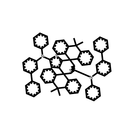 CC1(C)c2ccccc2C2(c3ccccc31)c1cc(N(c3ccccc3)c3cccc(-c4ccccc4)c3)sc1C1(c3ccccc3C(C)(C)c3ccccc31)c1cc(N(c3ccccc3)c3cccc(-c4ccccc4)c3)sc12